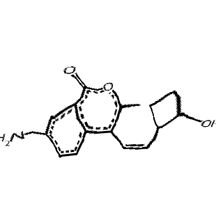 Cc1oc(=O)c2cc(N)ccc2c1/C=C\C1CCC1O